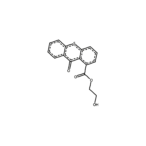 O=C(OCCO)c1cccc2sc3ccccc3c(=O)c12